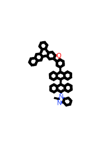 Cc1nc2ccccc2n1-c1c2ccccc2c(-c2c3ccccc3c(-c3ccc4oc5cc6c7ccccc7c7cc8ccccc8cc7c6cc5c4c3)c3ccccc23)c2ccccc12